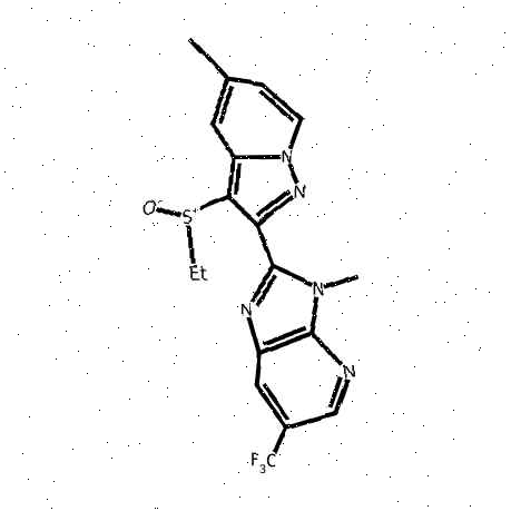 CC[S+]([O-])c1c(-c2nc3cc(C(F)(F)F)cnc3n2C)nn2ccc(C)cc12